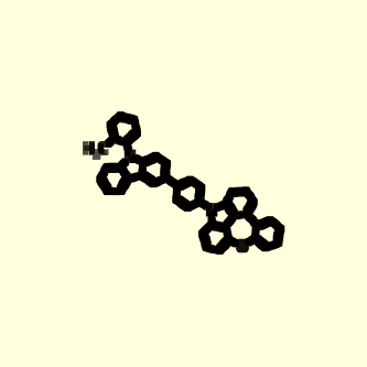 Cc1ccccc1-n1c2ccccc2c2cc(-c3ccc(-n4c5cccc6oc7ccccc7c7cccc4c7c65)cc3)ccc21